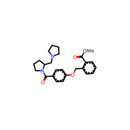 COC(=O)c1ccccc1COc1ccc(C(=O)N2CCCC2CN2CCCC2)cc1